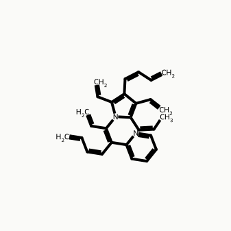 C=C/C=C\C(=C(/C=C)n1c(C=C)c(/C=C\C=C)c(C=C)c1/C=C\C)c1ccccn1